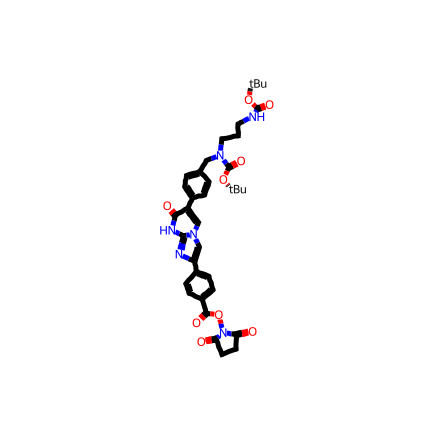 CC(C)(C)OC(=O)NCCCN(Cc1ccc(-c2cn3cc(-c4ccc(C(=O)ON5C(=O)CCC5=O)cc4)nc3[nH]c2=O)cc1)C(=O)OC(C)(C)C